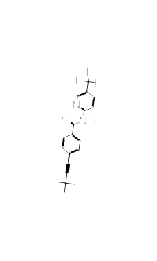 CC(C)(C)C#Cc1ccc(C(=O)Nc2ccc(C(F)(F)F)cn2)cc1